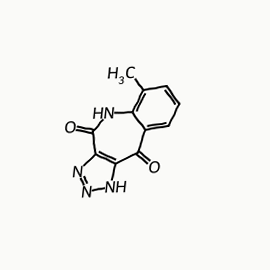 Cc1cccc2c(=O)c3[nH]nnc3c(=O)[nH]c12